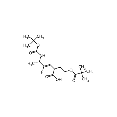 C[C@H](NC(=O)OC(C)(C)C)/C(F)=C/[C@@H](CCOC(=O)C(C)(C)C)C(=O)O